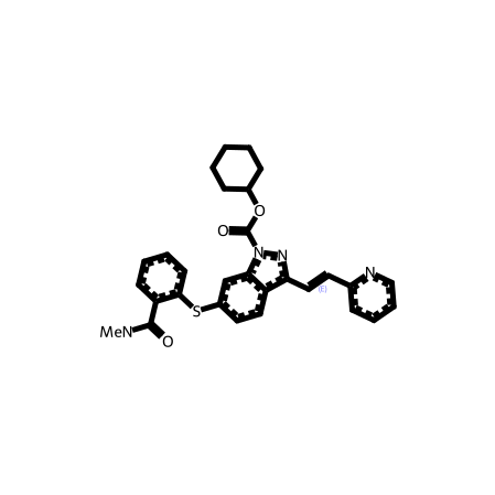 CNC(=O)c1ccccc1Sc1ccc2c(/C=C/c3ccccn3)nn(C(=O)OC3CCCCC3)c2c1